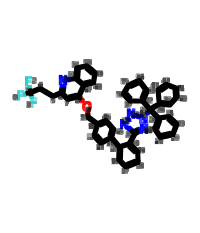 FC(F)(F)CCc1cc(OCc2ccc(-c3ccccc3-c3nnn(C(c4ccccc4)(c4ccccc4)c4ccccc4)n3)cc2)c2ccccc2n1